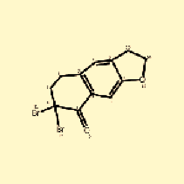 O=C1c2cc3c(cc2CCC1(Br)Br)CCO3